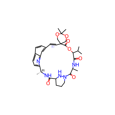 CC1NC(=O)C(C(C)C)OC(=O)C2(/C=C/c3ccc4ccc(nc4c3)[C@@H](C)NC(=O)C3CCCN(N3)C1=O)COC(C)(C)OC2